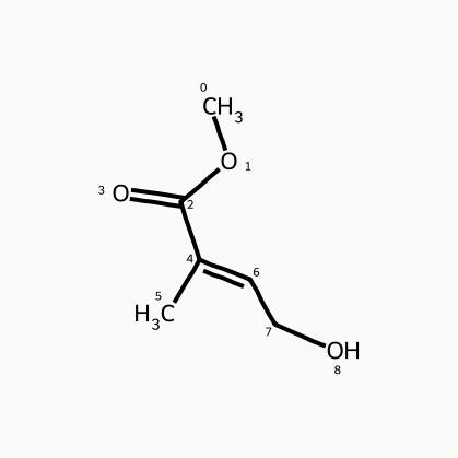 COC(=O)C(C)=CCO